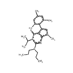 CCCN(CCC)c1nc2c(c(-c3c(C)cc(C)cc3C)cn2C)c(=O)n1C(C)C